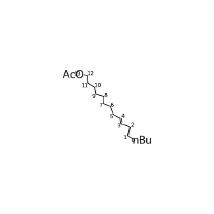 CCCCC=CC=CCCCCCCCCOC(C)=O